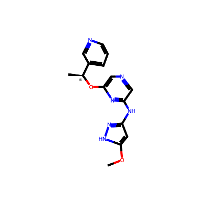 COc1cc(Nc2cncc(O[C@@H](C)c3cccnc3)n2)n[nH]1